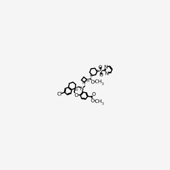 COC(=O)c1ccc2c(c1)N(C[C@@H]1CC[C@H]1C(OC)[C@@H]1CCC[C@@H](S(=O)(=O)c3ncccn3)C1)C[C@@]1(CCCc3cc(Cl)ccc31)CO2